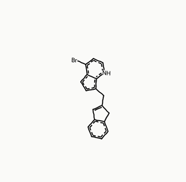 Brc1cc[nH]c2c(CC3=Cc4ccccc4C3)ccc1-2